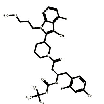 COCCCn1c(C2CCCN(C(=O)C[C@@H](Cc3ccc(Br)cc3F)NC(=O)OC(C)(C)C)C2)c(C)c2c(F)cccc21